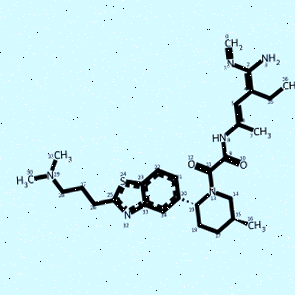 C=N/C(N)=C(\C=C(/C)NC(=O)C(=O)N1C[C@@H](C)CC[C@@H]1c1ccc2sc(CCCN(C)C)nc2c1)CC